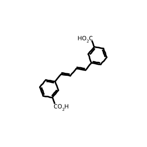 O=C(O)c1cccc(C=CC=Cc2cccc(C(=O)O)c2)c1